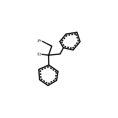 [CH2]CC(Cc1ccccc1)(CC(C)C)c1ccccc1